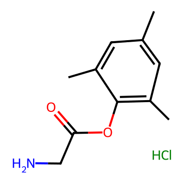 Cc1cc(C)c(OC(=O)CN)c(C)c1.Cl